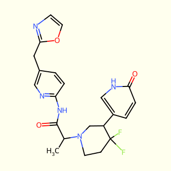 CC(C(=O)Nc1ccc(Cc2ncco2)cn1)N1CCC(F)(F)C(c2ccc(=O)[nH]c2)C1